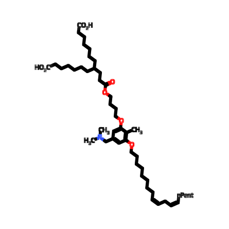 CCCCC/C=C\C/C=C\CCCCCCCCOc1cc(CN(C)C)cc(OCCCCOC(=O)CCC(CCCCCCC(=O)O)CCCCCCC(=O)O)c1C